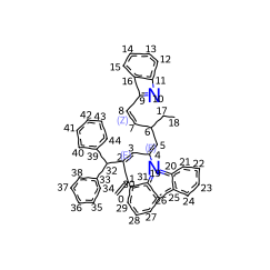 C=C/C(=C\C(=C/C(/C=C\C1=Nc2ccccc21)CC)n1c2ccccc2c2ccccc21)C(c1ccccc1)c1ccccc1